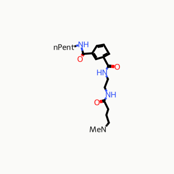 CCCCCNC(=O)c1cccc(C(=O)NCCNC(=O)CCCNC)c1